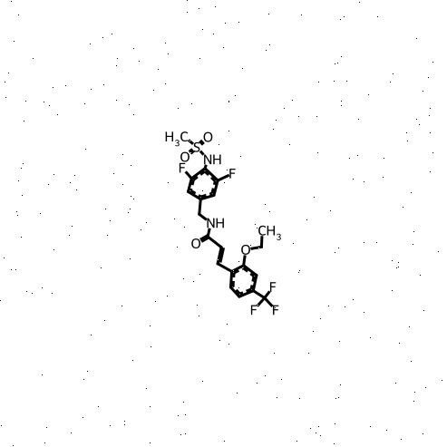 CCOc1cc(C(F)(F)F)ccc1/C=C/C(=O)NCc1cc(F)c(NS(C)(=O)=O)c(F)c1